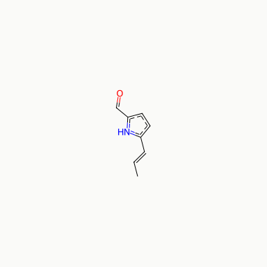 C/C=C/c1ccc(C=O)[nH]1